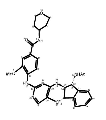 COc1cc(C(=O)NC2CCOCC2)ccc1Nc1ncc(C(F)(F)F)c(N[C@@H]2Cc3ccccc3[C@H]2NC(C)=O)n1